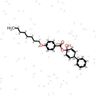 CCCCCCCCOc1ccc(C(=O)OC2(O)C=CC(c3ccccc3)C=C2)cc1